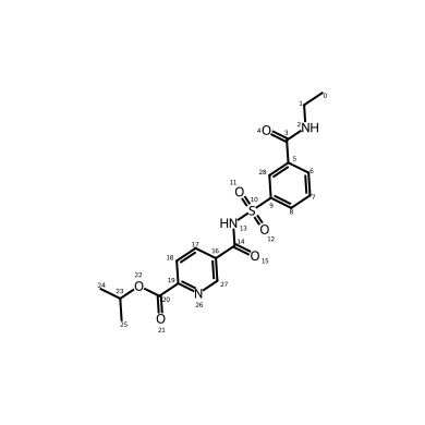 CCNC(=O)c1cccc(S(=O)(=O)NC(=O)c2ccc(C(=O)OC(C)C)nc2)c1